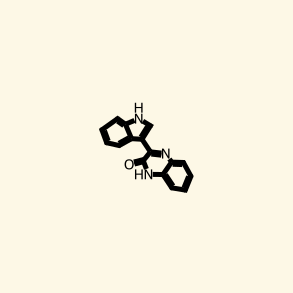 O=c1[nH]c2ccccc2nc1-c1c[nH]c2ccccc12